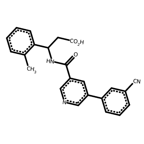 Cc1ccccc1C(CC(=O)O)NC(=O)c1cncc(-c2cccc(C#N)c2)c1